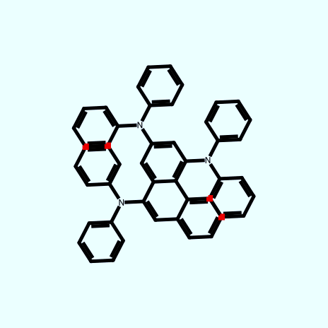 c1ccc(N(c2ccccc2)c2cc(N(c3ccccc3)c3ccccc3)c3c(c2)c(N(c2ccccc2)c2ccccc2)cc2ccccc23)cc1